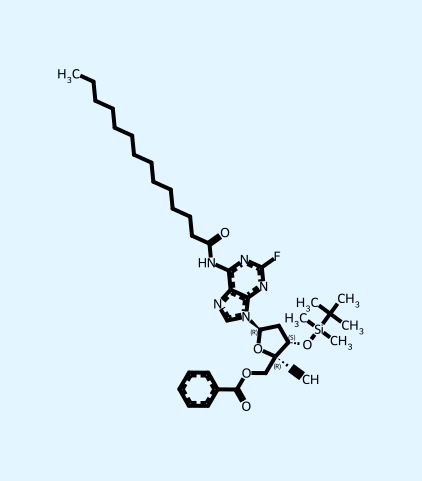 C#C[C@]1(COC(=O)c2ccccc2)O[C@@H](n2cnc3c(NC(=O)CCCCCCCCCCCCC)nc(F)nc32)C[C@@H]1O[Si](C)(C)C(C)(C)C